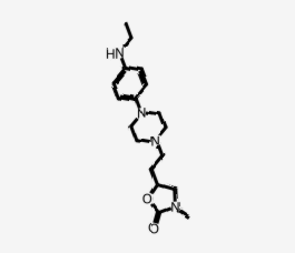 CCNc1ccc(N2CCN(CCC3CN(C)C(=O)O3)CC2)cc1